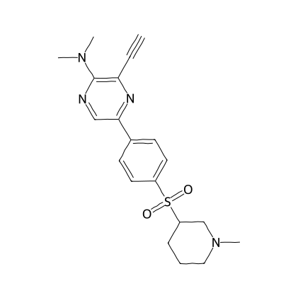 C#Cc1nc(-c2ccc(S(=O)(=O)C3CCCN(C)C3)cc2)cnc1N(C)C